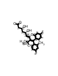 Cc1cc(F)ccc1C(=C(/C=C/[C@@H](O)C[C@@H](O)CC(=O)[O-])C(C)C)c1ccc(F)cc1C.[Na+]